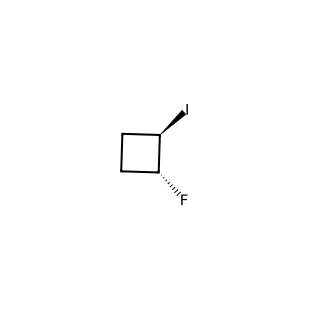 F[C@@H]1CC[C@H]1I